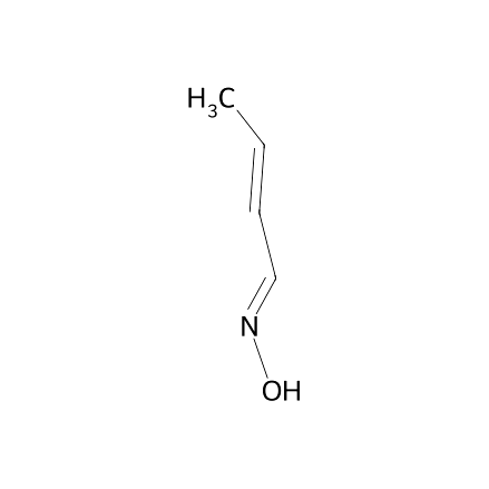 CC=CC=NO